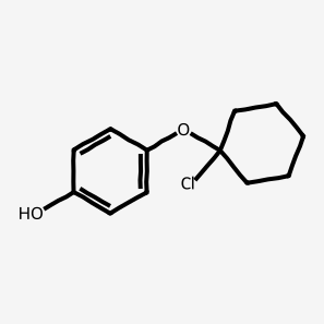 Oc1ccc(OC2(Cl)CCCCC2)cc1